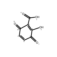 O=C(O)C1=C(O)C(=O)C=CC1=O